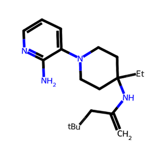 C=C(CC(C)(C)C)NC1(CC)CCN(c2cccnc2N)CC1